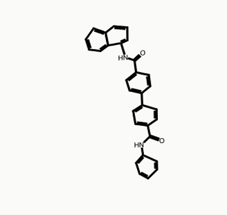 O=C(Nc1ccccc1)c1ccc(-c2ccc(C(=O)Nc3cccc4ccccc34)cc2)cc1